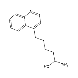 NC(O)CCCCc1ccnc2ccccc12